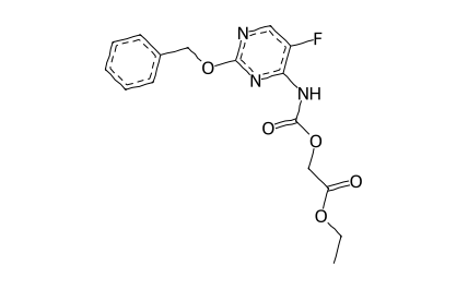 CCOC(=O)COC(=O)Nc1nc(OCc2ccccc2)ncc1F